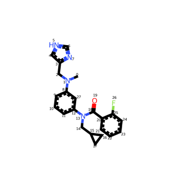 CN(Cc1c[nH]cn1)c1cccc(N(CC2CC2)C(=O)c2ccccc2F)c1